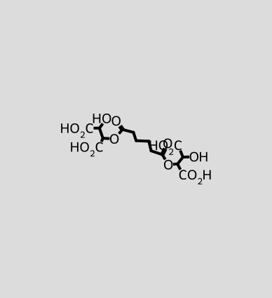 O=C(CCCCC(=O)OC(C(=O)O)C(O)C(=O)O)OC(C(=O)O)C(O)C(=O)O